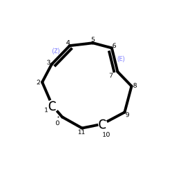 [CH]1CC/C=C\C/C=C/CCCC1